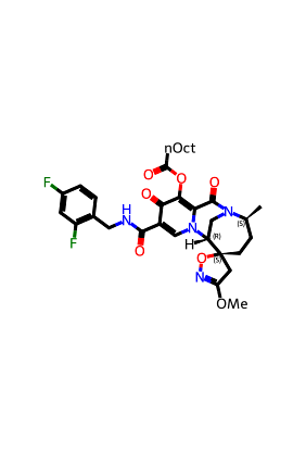 CCCCCCCCC(=O)Oc1c2n(cc(C(=O)NCc3ccc(F)cc3F)c1=O)[C@@H]1CN(C2=O)[C@@H](C)CC[C@]12CC(OC)=NO2